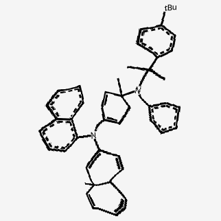 CC(C)(C)c1ccc(C(C)(C)N(c2ccccc2)C2(C)C=CC(N(C3=CC4(C)C=CC=CC4C=C3)c3cccc4ccccc34)=CC2)cc1